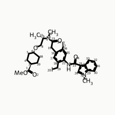 COC(=O)[C@H]1CC[C@H](OC[C@H](C)N(C)C(=O)Cc2cc(CI)c(NC(=O)c3cn(C)c4ccccc34)cc2F)CC1